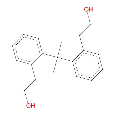 CC(C)(c1ccccc1CCO)c1ccccc1CCO